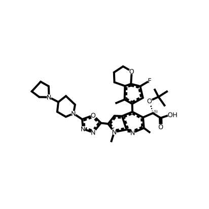 Cc1nc2c(cc(-c3nnc(N4CCC(N5CCCC5)CC4)o3)n2C)c(-c2cc(F)c3c(c2C)CCCO3)c1[C@H](OC(C)(C)C)C(=O)O